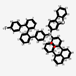 Fc1ccc(-c2ccccc2-c2ccccc2-c2ccc(N(c3ccc(-c4cccc5cccc(-c6ccccc6)c45)cc3)c3ccc4c(c3)oc3ccccc34)cc2)cc1